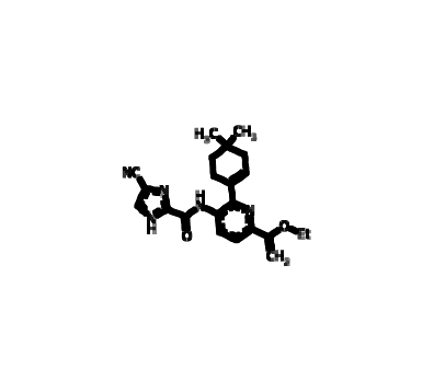 C=C(OCC)c1ccc(NC(=O)c2nc(C#N)c[nH]2)c(C2=CCC(C)(C)CC2)n1